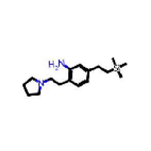 C[Si](C)(C)CCc1ccc(CCN2CCCC2)c(N)c1